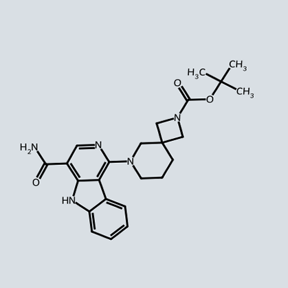 CC(C)(C)OC(=O)N1CC2(CCCN(c3ncc(C(N)=O)c4[nH]c5ccccc5c34)C2)C1